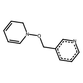 C1=CCN(OCc2cccnc2)C=C1